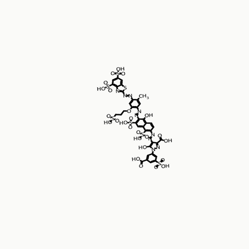 Cc1cc(N=Nc2c(S(=O)(=O)O)cc3c(S(=O)(=O)O)c(N=Nc4c(C(=O)O)nn(-c5cc(C(=O)O)cc(S(=O)(=O)O)c5)c4O)ccc3c2O)c(OCCCS(=O)(=O)O)cc1N=Nc1nc2c(S(=O)(=O)O)cc(S(=O)(=O)O)cc2s1